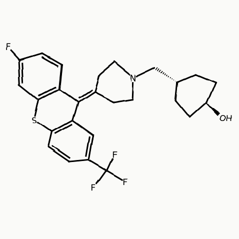 O[C@H]1CC[C@H](CN2CCC(=C3c4ccc(F)cc4Sc4ccc(C(F)(F)F)cc43)CC2)CC1